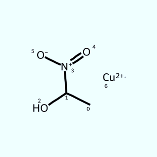 CC(O)[N+](=O)[O-].[Cu+2]